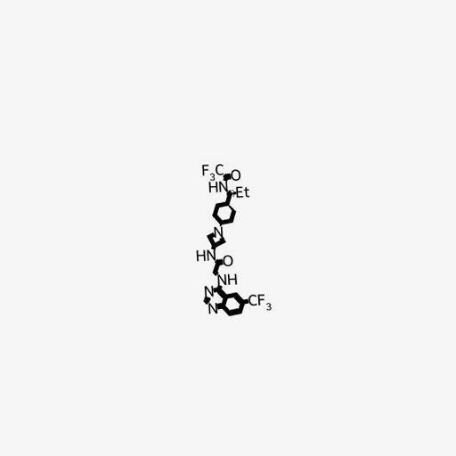 CC[C@H](NC(=O)C(F)(F)F)[C@H]1CC[C@H](N2CC(NC(=O)CNc3ncnc4ccc(C(F)(F)F)cc34)C2)CC1